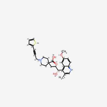 COc1ccc2ncc(C)c([C@H](O)CCC3(C(=O)O)CCN(CC#Cc4cccs4)CC3)c2c1